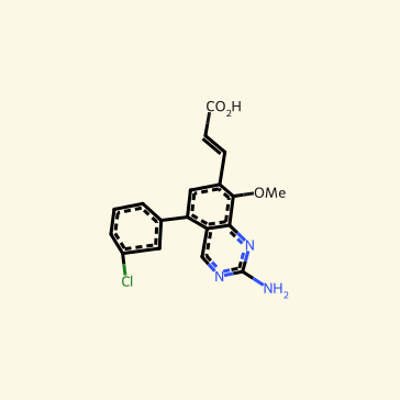 COc1c(C=CC(=O)O)cc(-c2cccc(Cl)c2)c2cnc(N)nc12